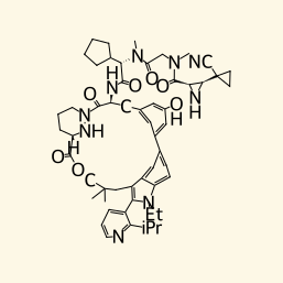 CCn1c(-c2cccnc2C(C)C)c2c3cc(ccc31)-c1cc(O)cc(c1)C[C@H](NC(=O)[C@H](C1CCCC1)N(C)C(=O)CN(C)C(=O)[C@@H]1N[C@@H]1C1(C#N)CC1)C(=O)N1CCC[C@H](N1)C(=O)OCC(C)(C)C2